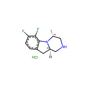 C[C@@H]1CNC[C@H]2Cc3ccc(F)c(F)c3N21.Cl